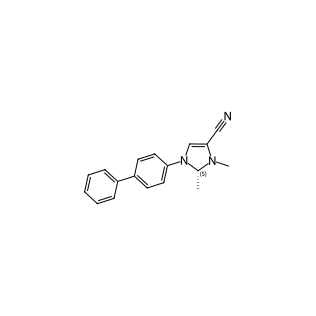 C[C@H]1N(C)C(C#N)=CN1c1ccc(-c2ccccc2)cc1